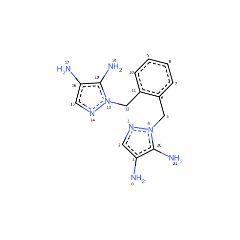 Nc1cnn(Cc2ccccc2Cn2ncc(N)c2N)c1N